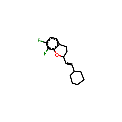 Fc1ccc2c(c1F)OC(/C=C/C1CCCCC1)CC2